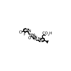 CC(Cc1cc(C2CC2)cn2cc(Cn3cc(C(=O)NCc4ncn5ccc(Cl)c(F)c45)nn3)nc12)C(=O)O